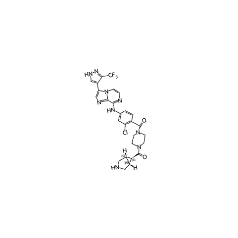 O=C(c1ccc(Nc2nccn3c(-c4c[nH]nc4C(F)(F)F)cnc23)cc1Cl)N1CCN(C(=O)[C@H]2[C@@H]3CNC[C@@H]32)CC1